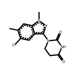 Cc1cc2c(cc1Cl)c(N1CCC(=O)NC1=O)nn2C